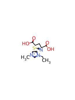 CCn1cc[n+](C)c1.N#C[S-].O=C(O)CCCC(=O)O